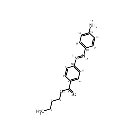 CCCCOC(=O)c1ccc(N=Nc2ccc(N)cc2)cc1